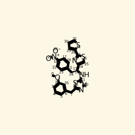 COc1cccc(Cc2nnc(N[C@@H](Cc3ccc([N+](=O)[O-])cc3)c3csc(-c4cccs4)n3)s2)c1